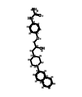 NC(=O)Nc1ccc(OCC(O)CN2CCN(c3ccc4ccccc4c3)CC2)cc1